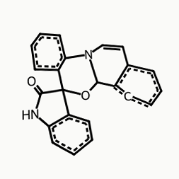 O=C1Nc2ccccc2C12OC1c3ccccc3C=CN1c1ccccc12